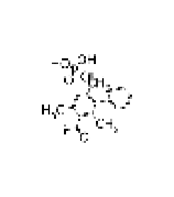 O=P(O)(O)O.[Li][C](=O)c1c(C)cc(C)c(-c2ccccc2)c1C